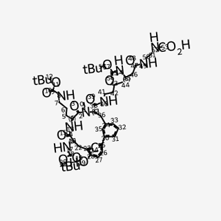 CN1C(=O)[C@H](CCCNC(=O)OC(C)(C)C)NC(=O)[C@@H](NC(=O)OC(C)(C)C)Cc2cc(ccc2O)-c2cccc(c2)C[C@H]1C(=O)NCCCC[C@@H](CC(=O)NCCNC(=O)O)NC(=O)OC(C)(C)C